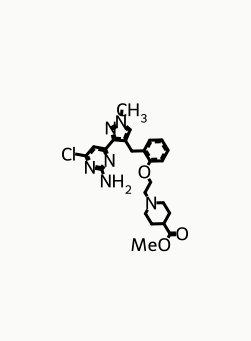 COC(=O)C1CCN(CCOc2ccccc2Cc2cn(C)nc2-c2cc(Cl)nc(N)n2)CC1